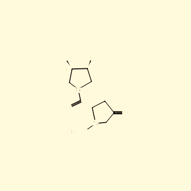 O=C1C[C@@H](C(=O)N2C[C@@H](F)[C@@H](F)C2)N(C(=O)O)C1